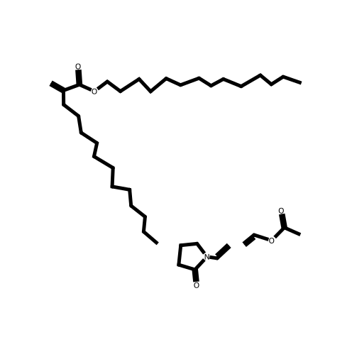 C=C(CCCCCCCCCCCC)C(=O)OCCCCCCCCCCCCCC.C=CN1CCCC1=O.C=COC(C)=O